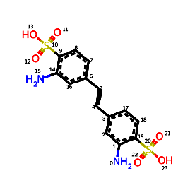 Nc1cc(C=Cc2ccc(S(=O)(=O)O)c(N)c2)ccc1S(=O)(=O)O